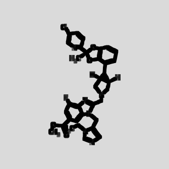 CCn1cncc1Cn1c(CN2C[C@@H]3C(c4cccc5c4O[C@](C)(c4ccc(Cl)cn4)O5)[C@@H]3C2)nc2c(F)cc(C(=O)OC)cc21